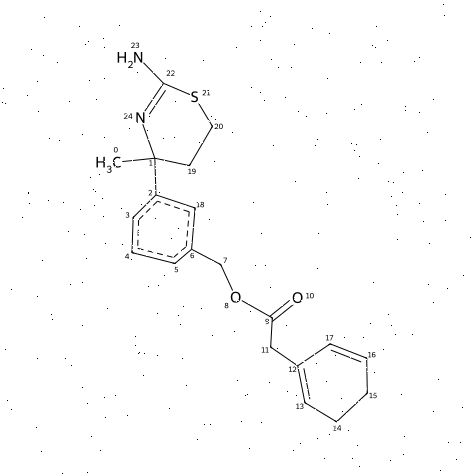 CC1(c2cccc(COC(=O)CC3=CCCC=C3)c2)CCSC(N)=N1